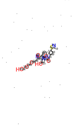 Cc1ncsc1-c1ccc(CNC(=O)[C@@H]2C[C@@H](O)CN2C(=O)C(c2cc(CCCOCCOCCO)no2)C(C)C)cc1